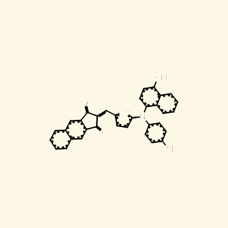 Cc1ccc(N(c2ccc(Cl)cc2)c2ccc(C=C3C(=O)c4cc5ccccc5cc4C3=O)[se]2)c2ccccc12